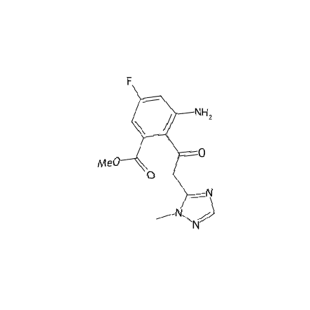 COC(=O)c1cc(F)cc(N)c1C(=O)Cc1ncnn1C